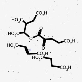 O=C(O)/C=C/C(=O)O.O=C(O)CCC(=O)C(=O)OC(C(=O)O)C(CC(=O)O)C(=O)O.O=C(O)CCC(=O)O